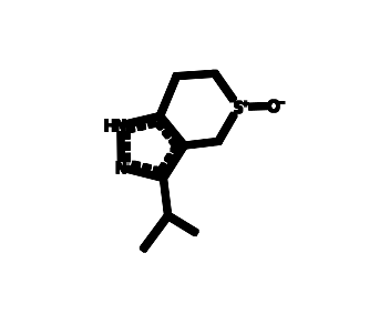 CC(C)c1n[nH]c2c1C[S+]([O-])CC2